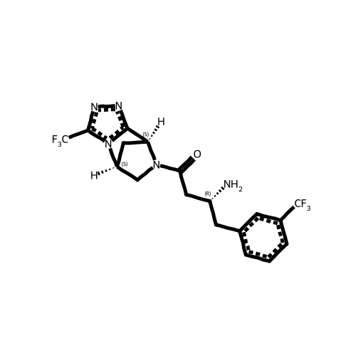 N[C@@H](CC(=O)N1C[C@@H]2C[C@H]1c1nnc(C(F)(F)F)n12)Cc1cccc(C(F)(F)F)c1